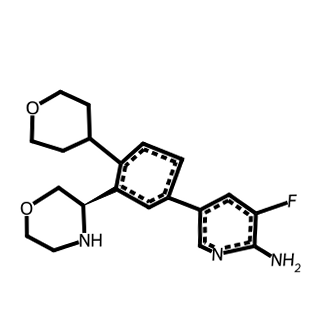 Nc1ncc(-c2ccc(C3CCOCC3)c([C@@H]3COCCN3)c2)cc1F